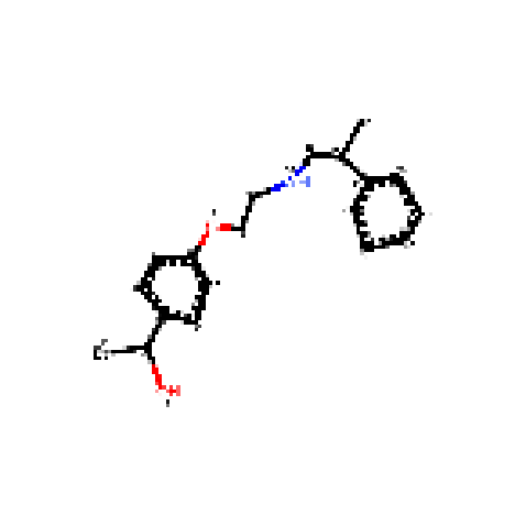 CCC(O)c1ccc(OCCNCC(C)c2ccccc2)cc1